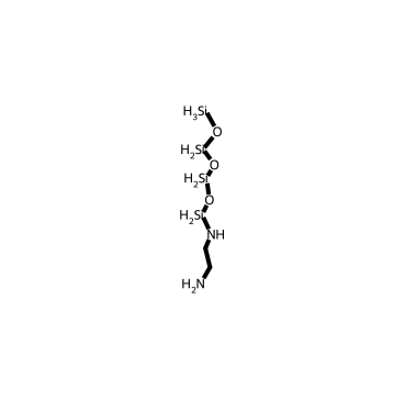 NCCN[SiH2]O[SiH2]O[SiH2]O[SiH3]